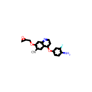 [C-]#[N+]c1cc2c(Oc3ccc(N)c(F)c3)ccnc2cc1OCC1CO1